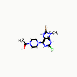 CC(=O)N1CCN(c2nc(Cl)nc3c2nc(Br)n3C)CC1